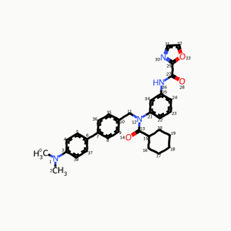 CN(C)c1ccc(-c2ccc(CN(C(=O)C3CCCCC3)c3cccc(NC(=O)c4ncco4)c3)cc2)cc1